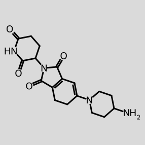 NC1CCN(C2=CC3=C(CC2)C(=O)N(C2CCC(=O)NC2=O)C3=O)CC1